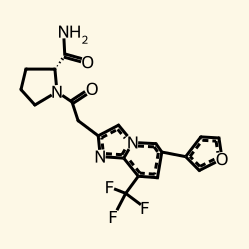 NC(=O)[C@H]1CCCN1C(=O)Cc1cn2cc(-c3ccoc3)cc(C(F)(F)F)c2n1